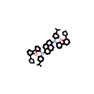 CC(C)c1ccc(N(c2ccc3ccc4c(N(c5ccc(C(C)C)cc5)c5cccc6c5oc5c(C7CCCC7)cccc56)ccc5ccc2c3c54)c2cccc3c2oc2c(C4CCCC4)cccc23)cc1